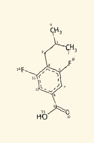 CC(C)Cc1c(F)cc(C(=O)O)cc1F